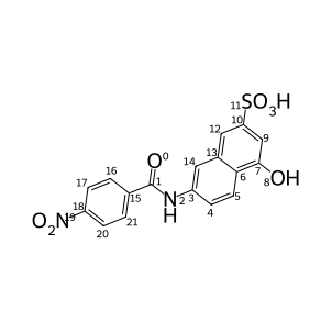 O=C(Nc1ccc2c(O)cc(S(=O)(=O)O)cc2c1)c1ccc([N+](=O)[O-])cc1